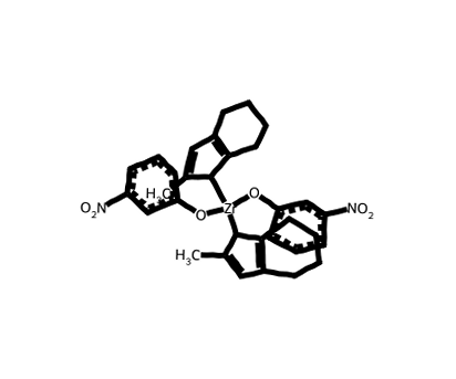 CC1=CC2=C(CCCC2)[CH]1[Zr]([O]c1cccc([N+](=O)[O-])c1)([O]c1cccc([N+](=O)[O-])c1)[CH]1C(C)=CC2=C1CCCC2